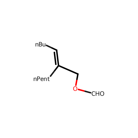 CCCC/C=C(\CCCCC)COC=O